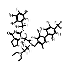 [2H]c1c([2H])c(C([2H])([2H])Sc2nc(=O)c3c(n2C([2H])([2H])C(=O)N(Cc2c([2H])c([2H])c(-c4c([2H])c([2H])c(C(F)(F)F)c([2H])c4[2H])c([2H])c2C)C([2H])([2H])C([2H])([2H])N(CC)CC)CCC3)c([2H])c([2H])c1F